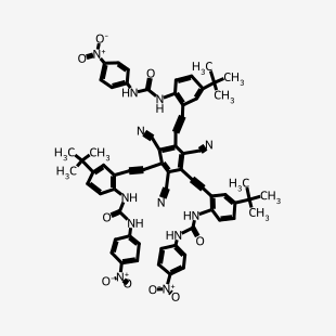 CC(C)(C)c1ccc(NC(=O)Nc2ccc([N+](=O)[O-])cc2)c(C#Cc2c(C#N)c(C#Cc3cc(C(C)(C)C)ccc3NC(=O)Nc3ccc([N+](=O)[O-])cc3)c(C#N)c(C#Cc3cc(C(C)(C)C)ccc3NC(=O)Nc3ccc([N+](=O)[O-])cc3)c2C#N)c1